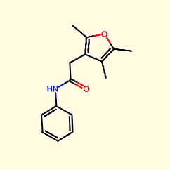 Cc1oc(C)c(CC(=O)Nc2ccccc2)c1C